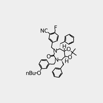 CCCCOc1cccc(CN2C(=O)N(Cc3ccc(F)c(C#N)c3)[C@H](Cc3ccccc3)[C@@H]3OC(C)(C)O[C@H]3[C@H]2Cc2ccccc2)c1